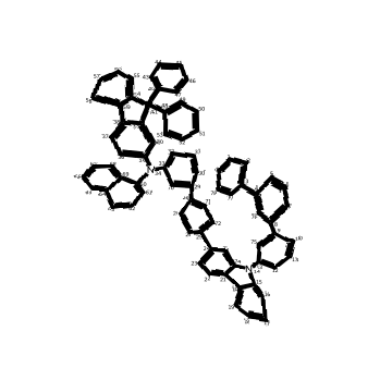 c1ccc(-c2cccc(-c3cccc(-n4c5ccccc5c5ccc(-c6ccc(-c7cccc(N(c8ccc9c(c8)C(c8ccccc8)(c8ccccc8)c8ccccc8-9)c8cccc9ccccc89)c7)cc6)cc54)c3)c2)cc1